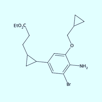 CCOC(=O)CCC1CC1c1cc(Br)c(N)c(OCC2CC2)c1